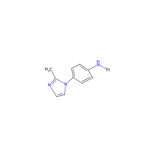 CCNc1ccc(-n2ccnc2C)cc1